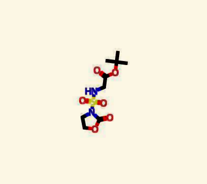 CC(C)(C)OC(=O)CNS(=O)(=O)N1CCOC1=O